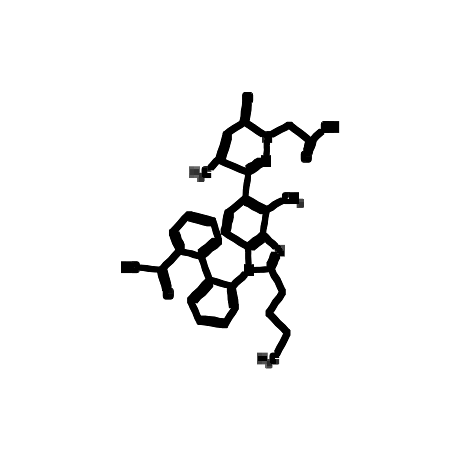 CCCCc1nc2c(C)c(-c3nn(CC(=O)O)c(=O)cc3C)ccc2n1-c1ccccc1-c1ccccc1C(=O)O